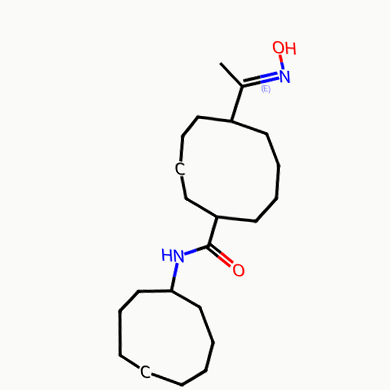 C/C(=N\O)C1CCCCC(C(=O)NC2CCCCCCCC2)CCCC1